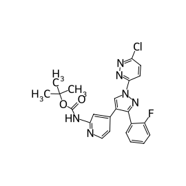 CC(C)(C)OC(=O)Nc1cc(-c2cn(-c3ccc(Cl)nn3)nc2-c2ccccc2F)ccn1